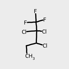 CCC(Cl)C(Cl)(Cl)C(F)(F)F